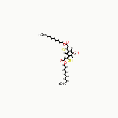 CCCCCCCCCCCCCCCCCCOC(=O)CC(S)c1c(C)c(O)c(C)c(C(S)CC(=O)OCCCCCCCCCCCCCCCCCC)c1C